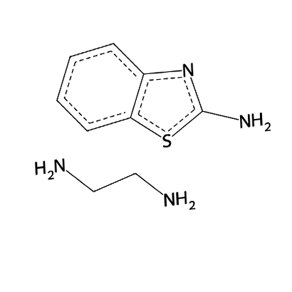 NCCN.Nc1nc2ccccc2s1